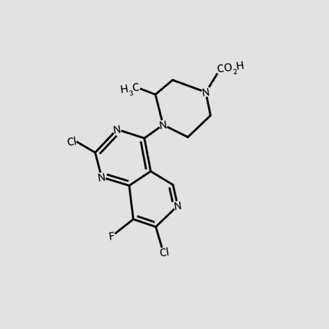 CC1CN(C(=O)O)CCN1c1nc(Cl)nc2c(F)c(Cl)ncc12